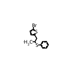 [CH2]C(Cc1ccc(Br)s1)Sc1ccccc1